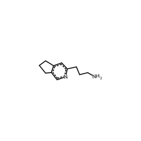 NCCCc1cc2c(cn1)CCC2